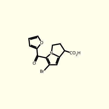 O=C(c1ccco1)c1c(Br)cc2n1CCC2C(=O)O